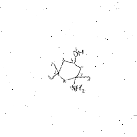 CC1(C)CC(O)CC(C)(N)C1